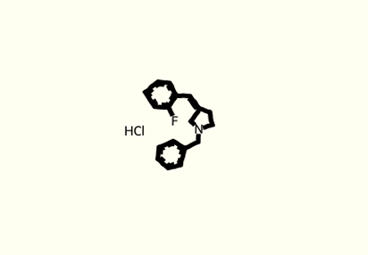 Cl.Fc1ccccc1C=C1CCN(Cc2ccccc2)C1